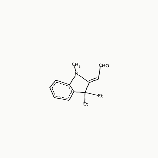 CCC1(CC)/C(=C/C=O)N(C)c2ccccc21